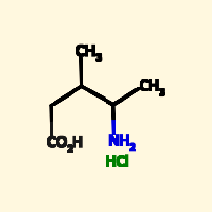 CC(N)C(C)CC(=O)O.Cl